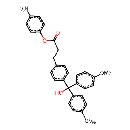 COc1ccc(C(O)(c2ccc(CCC(=O)Oc3ccc([N+](=O)[O-])cc3)cc2)c2ccc(OC)cc2)cc1